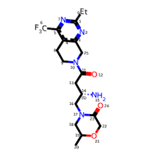 CCc1nc2c(c(C(F)(F)F)n1)CCN(C(=O)C[C@H](N)CN1CC(C)OCC1=O)C2